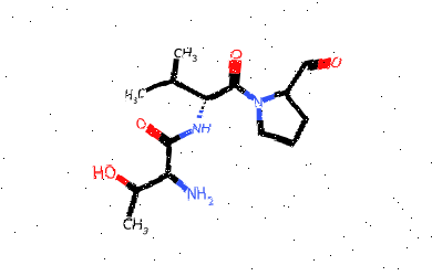 CC(O)C(N)C(=O)N[C@@H](C(=O)N1CCCC1[C]=O)C(C)C